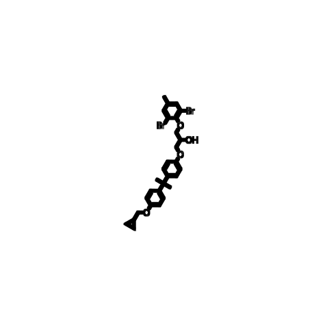 Cc1cc(Br)c(OCC(O)COc2ccc(C(C)(C)c3ccc(OCC4CC4)cc3)cc2)c(Br)c1